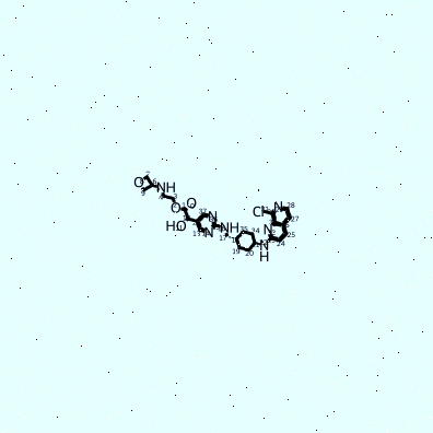 O=C(OCCNC1COC1)C(O)c1cnc(NC[C@H]2CC[C@H](Nc3ccc4ccnc(Cl)c4n3)CC2)nc1